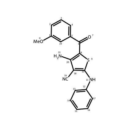 COc1cccc(C(=O)c2sc(Nc3ccccc3)c(C#N)c2N)c1